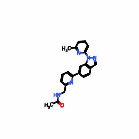 CC(=O)NCc1cccc(-c2ccc3cnn(-c4cccc(C)n4)c3c2)n1